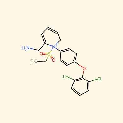 NCC1=CC=CC[N+]1(c1ccc(Oc2c(Cl)cccc2Cl)cc1)S(=O)(=O)CC(F)(F)F